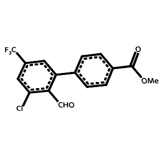 COC(=O)c1ccc(-c2cc(C(F)(F)F)cc(Cl)c2C=O)cc1